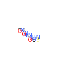 C=CC(=O)N1CCC[C@H](c2nc(-c3ccc(NC(=O)c4cccc(-c5cncs5)n4)nc3)no2)C1